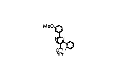 CCCOC1Oc2ccccc2-c2nc(-c3cccc(OC)c3)ncc21